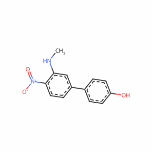 CNc1cc(-c2ccc(O)cc2)ccc1[N+](=O)[O-]